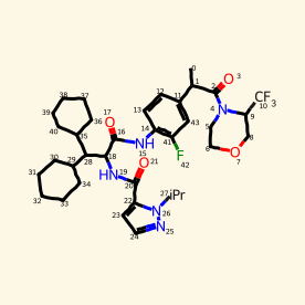 CC(C(=O)N1CCOCC1C(F)(F)F)c1ccc(NC(=O)C(NC(=O)c2ccnn2C(C)C)C(C2CCCCC2)C2CCCCC2)c(F)c1